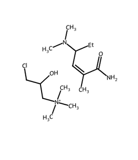 CCC(C=C(C)C(N)=O)N(C)C.C[N+](C)(C)CC(O)CCl